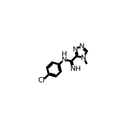 Cn1cnnc1C(=N)Nc1ccc(Cl)cc1